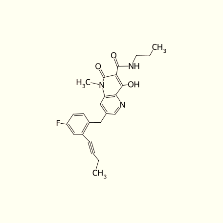 CCC#Cc1cc(F)ccc1Cc1cnc2c(O)c(C(=O)NCCC)c(=O)n(C)c2c1